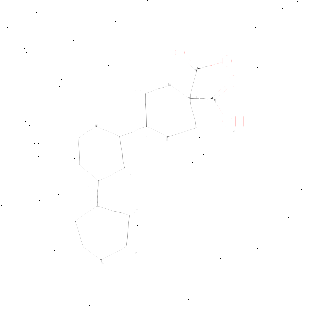 O=C(O)C1(C(=O)O)CCC(C2CCCC(C3CCCCC3)C2)CC1